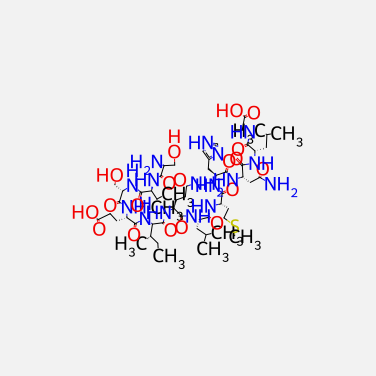 CC[C@H](C)[C@H](NC(=O)[C@H](CCC(=O)O)NC(=O)[C@H](CO)NC(=O)[C@@H](NC(=O)[C@@H](N)CO)C(C)C)C(=O)N[C@@H](CCC(N)=O)C(=O)N[C@@H](CC(C)C)C(=O)N[C@@H](CCSC)C(=O)N[C@@H](Cc1c[nH]cn1)C(=O)N[C@@H](CC(N)=O)C(=O)N[C@@H](CC(C)C)C(=O)NCC(=O)O